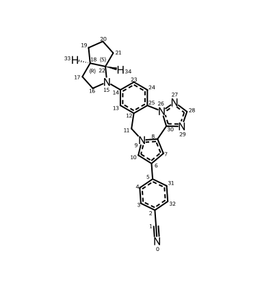 N#Cc1ccc(-c2cc3n(c2)Cc2cc(N4CC[C@H]5CCC[C@@H]54)ccc2-n2ncnc2-3)cc1